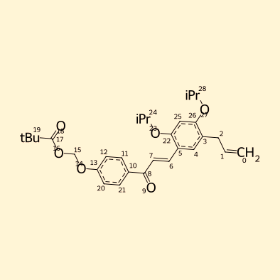 C=CCc1cc(/C=C/C(=O)c2ccc(OCOC(=O)C(C)(C)C)cc2)c(OC(C)C)cc1OC(C)C